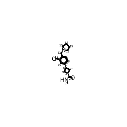 CNC(=O)[C@H]1C[C@@H](c2ccc(CN3CCCC3)c(Cl)c2)C1